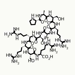 CC(C)[C@H](NC(=O)[C@H](CCCNC(=N)N)NC(=O)[C@H](CO)NC(=O)[C@H](C)NC(=O)[C@@H]1CCCN1)C(=O)N[C@@H](CO)C(=O)N[C@@H](CCCNC(=N)N)C(=O)N[C@@H](CCCNC(=N)N)C(=O)N[C@@H](CO)C(=O)N[C@@H](CCCNC(=N)N)C(=O)O